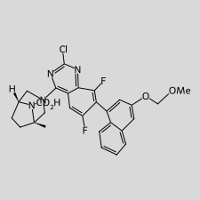 COCOc1cc(-c2c(F)cc3c(N4C[C@H]5CC[C@@](C)(C4)N5C(=O)O)nc(Cl)nc3c2F)c2ccccc2c1